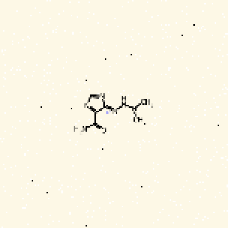 CN(C)N/N=C1\N=CN=C1C(N)=O